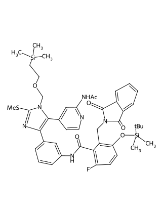 CSc1nc(-c2cccc(NC(=O)c3c(F)ccc(O[Si](C)(C)C(C)(C)C)c3CN3C(=O)c4ccccc4C3=O)c2)c(-c2ccnc(NC(C)=O)c2)n1COCC[Si](C)(C)C